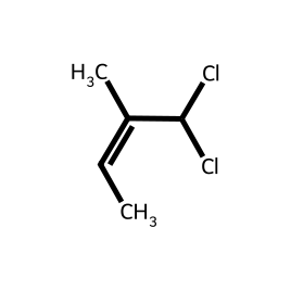 CC=C(C)C(Cl)Cl